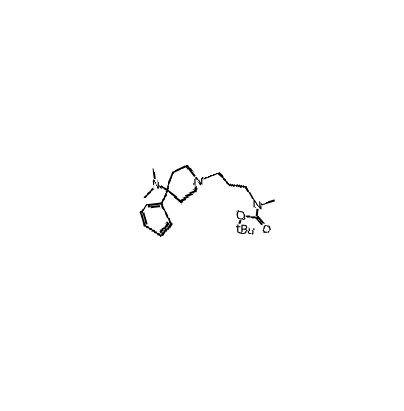 CN(CCCN1CCC(c2ccccc2)(N(C)C)CC1)C(=O)OC(C)(C)C